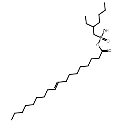 CCCCCCCCC=CCCCCCCCC(=O)OP(=O)(O)CC(CC)CCCC